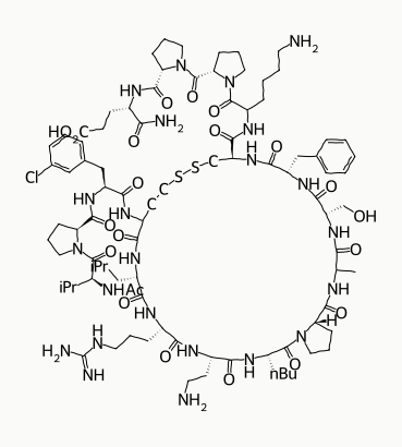 CCCC[C@@H]1NC(=O)[C@H](CCN)NC(=O)[C@H](CCCNC(=N)N)NC(=O)[C@H](CC(C)C)NC(=O)C(NC(=O)[C@H](Cc2cccc(Cl)c2)NC(=O)[C@@H]2CCCN2C(=O)[C@@H](NC(C)=O)C(C)C)CCSSC[C@@H](C(=O)NC(CCCCN)C(=O)N2CCC[C@H]2C(=O)N2CCC[C@H]2C(=O)N[C@@H](CCC(=O)O)C(N)=O)NC(=O)[C@H](Cc2ccccc2)NC(=O)[C@H](CO)NC(=O)C(C)NC(=O)[C@@H]2CCCN2C1=O